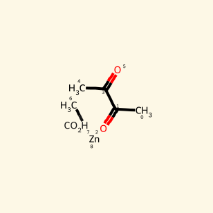 CC(=O)C(C)=O.CC(=O)O.[Zn]